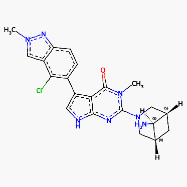 Cn1cc2c(Cl)c(-c3c[nH]c4nc(N5C[C@H]6C[C@@H](C5)[C@@H]6N)n(C)c(=O)c34)ccc2n1